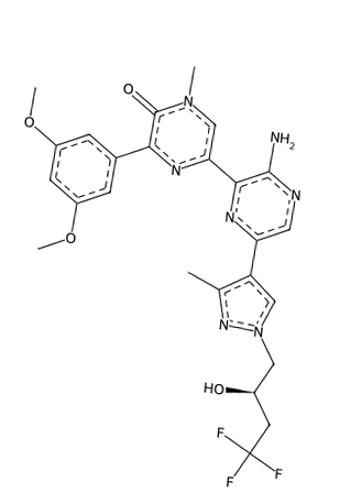 COc1cc(OC)cc(-c2nc(-c3nc(-c4cn(C[C@H](O)CC(F)(F)F)nc4C)cnc3N)cn(C)c2=O)c1